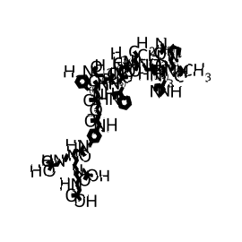 CC(C)C[C@@H](CN1CCC[C@H]1C(N)=O)NC(=O)[C@H](Cc1cnc[nH]1)NC(=O)CNC(=O)[C@@H](NC(=O)[C@H](C)NC(=O)[C@H](Cc1c[nH]c2ccccc12)NC(=O)[C@H](CCC(N)=O)NC(=O)[C@@H](Cc1ccccc1)NC(=O)COCC(=O)Nc1ccc(CNC(=O)CN(CCNCC(=O)O)CCN(CCNCC(=O)O)CC(=O)O)cc1)C(C)C